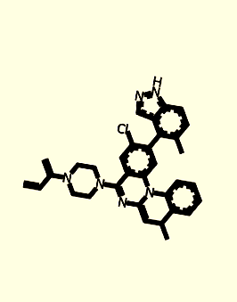 C=CC(=C)N1CCN(C2=NC3=CC(C)c4ccccc4N3c3cc(-c4c(C)ccc5[nH]ncc45)c(Cl)cc32)CC1